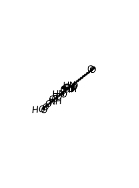 CC(C)(C)OC(=O)CCCCCCCCCCCCCCCCC(=O)NC(CCC(=O)N[C@@H](CCC(=O)NCCOCCOCC(=O)NCCOCCOCC(=O)O)C(=O)OC(C)(C)C)C(=O)OC(C)(C)C